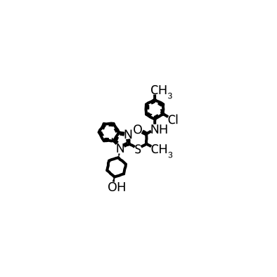 Cc1ccc(NC(=O)C(C)Sc2nc3ccccc3n2[C@H]2CC[C@H](O)CC2)c(Cl)c1